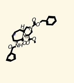 COC(=O)[C@@H]1CN(C(=O)OCc2ccccc2)C[C@@H]2C/C=C\C[C@H](NC(=O)c3ccccc3)C(=O)N21